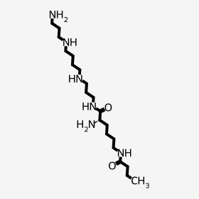 CCCC(=O)NCCCC[C@H](N)C(=O)NCCCNCCCCNCCCN